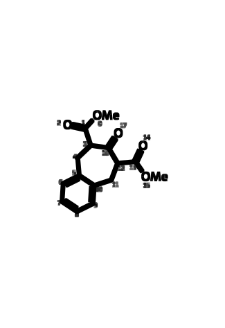 COC(=O)C1Cc2ccccc2CC(C(=O)OC)C1=O